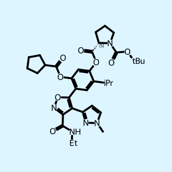 CCNC(=O)c1noc(-c2cc(C(C)C)c(OC(=O)[C@@H]3CCCN3C(=O)OC(C)(C)C)cc2OC(=O)C2CCCC2)c1-c1ccn(C)n1